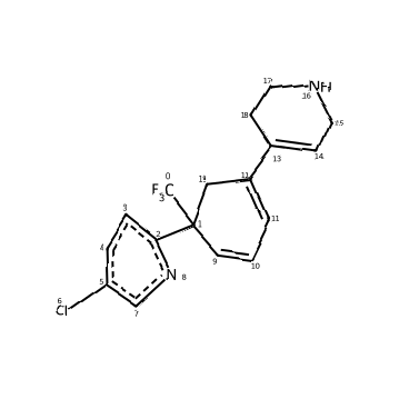 FC(F)(F)C1(c2ccc(Cl)cn2)C=CC=C(C2=CCNCC2)C1